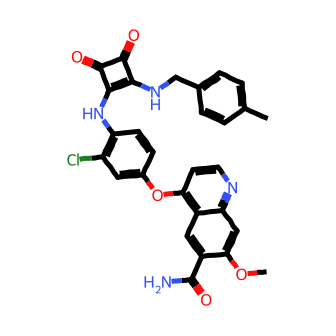 COc1cc2nccc(Oc3ccc(Nc4c(NCc5ccc(C)cc5)c(=O)c4=O)c(Cl)c3)c2cc1C(N)=O